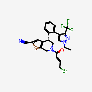 CCn1cc(-c2ccccc2[C@@H]2CN(C(=O)/C=C/CBr)Cc3sc(C#N)cc32)c(C(F)(F)F)n1